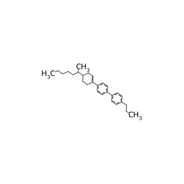 CCCCCC(C)C1CC=C(c2ccc(-c3ccc(CCC)cc3)cc2)CC1